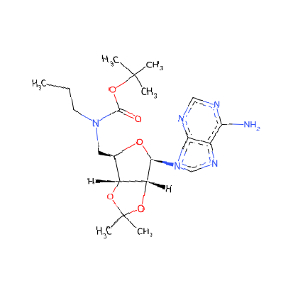 CCCN(C[C@H]1O[C@@H](n2cnc3c(N)ncnc32)[C@@H]2OC(C)(C)O[C@@H]21)C(=O)OC(C)(C)C